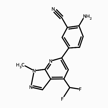 Cn1ncc2c(C(F)F)cc(-c3ccc(N)c(C#N)c3)nc21